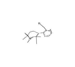 CN1C(C)(C)CCC(c2ccccc2Cl)C1(C)C